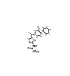 CNC(=O)Nc1nc(C(C)c2ccc(-c3ccccc3)c(F)c2)cs1